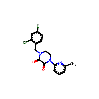 Cc1cccc(N2CCN(Cc3ccc(F)cc3Cl)C(=O)C2=O)n1